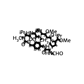 CCC(C)C(C(CC(=O)N1CCCC1C(OC)C(C)C)OC)N(C)C(=O)[C@@H](NC(=O)C(C(C)C)N(C)C(=O)OCc1ccc(NC(=O)CNC=O)cc1)C(C)C